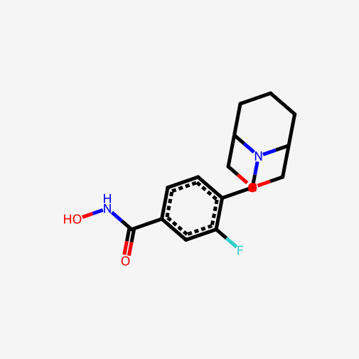 O=C(NO)c1ccc(CN2C3CCCC2COC3)c(F)c1